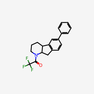 O=C(N1CCCC2c3cc(-c4ccccc4)ccc3CC21)C(F)(F)F